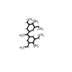 CCC1CC(C(C)C2CC(CC)C(N)C(CC)C2)CC(CC)C1N